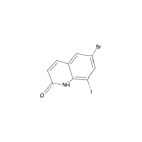 O=c1ccc2cc(Br)cc(I)c2[nH]1